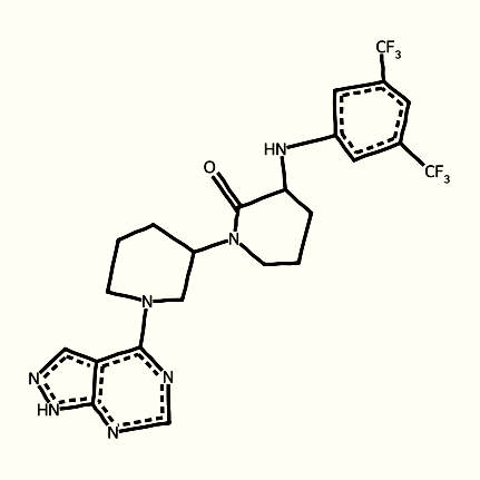 O=C1C(Nc2cc(C(F)(F)F)cc(C(F)(F)F)c2)CCCN1C1CCCN(c2ncnc3[nH]ncc23)C1